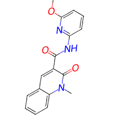 COc1cccc(NC(=O)c2cc3ccccc3n(C)c2=O)n1